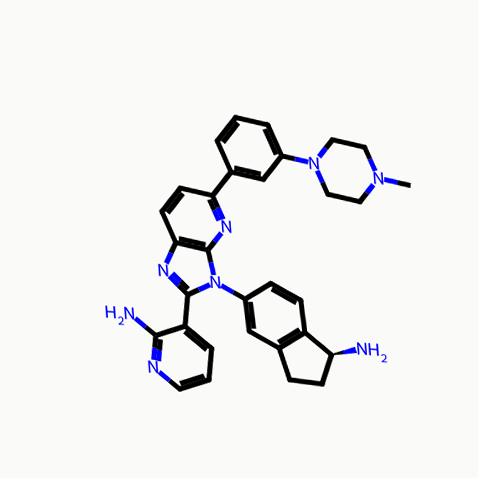 CN1CCN(c2cccc(-c3ccc4nc(-c5cccnc5N)n(-c5ccc6c(c5)CC[C@@H]6N)c4n3)c2)CC1